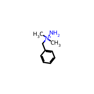 C[N+](C)(N)Cc1ccccc1